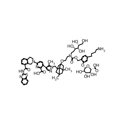 Cc1c(-c2ccc(N3CCc4cccc(C(=O)Nc5nc6ccccc6s5)c4C3)nc2C(=O)O)cnn1CC12CC3(C)CC(C)(C1)CC(OCCN(CC[C@@H](O)[C@H](O)[C@H](O)CO)C(=O)OCc1ccc(CCCCN)cc1O[C@@H]1O[C@H](C(=O)O)[C@@H](O)[C@H](O)[C@H]1O)(C3)C2